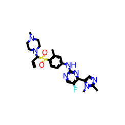 C=CC(N1CCN(C)CC1)S(=O)(=O)c1ccc(Nc2ncc(F)c(-c3cnc(C)n3C)n2)cc1C